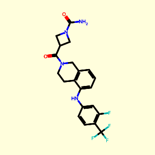 NC(=O)N1CC(C(=O)N2CCc3c(cccc3Nc3ccc(C(F)(F)F)c(F)c3)C2)C1